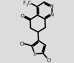 O=C1CC(c2cc(Cl)sc2Cl)Cc2nncc(C(F)(F)F)c21